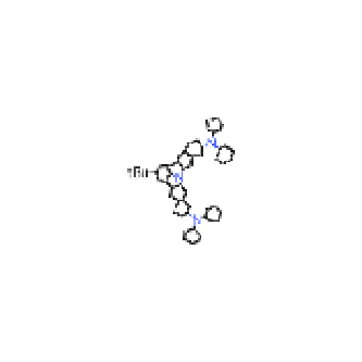 CC(C)(C)c1cc2c3cc4ccc(N(c5ccccc5)c5ccccc5)cc4cc3n3c4cc5cc(N(c6ccccc6)c6ccccc6)ccc5cc4c(c1)c23